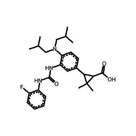 CC(C)CN(CC(C)C)c1ccc(C2C(C(=O)O)C2(C)C)cc1NC(=O)Nc1ccccc1F